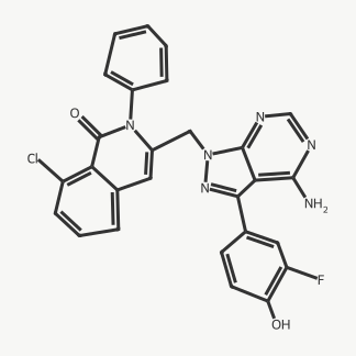 Nc1ncnc2c1c(-c1ccc(O)c(F)c1)nn2Cc1cc2cccc(Cl)c2c(=O)n1-c1ccccc1